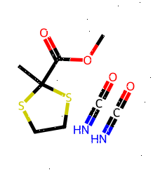 COC(=O)C1(C)SCCS1.N=C=O.N=C=O